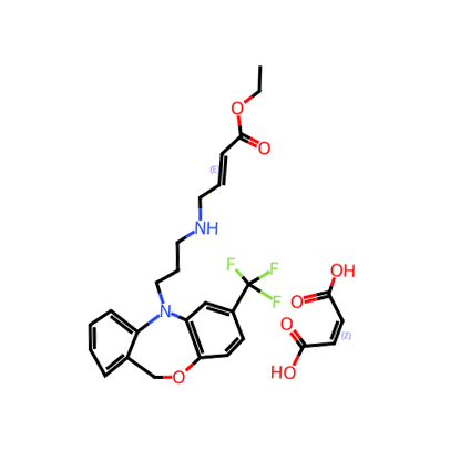 CCOC(=O)/C=C/CNCCCN1c2ccccc2COc2ccc(C(F)(F)F)cc21.O=C(O)/C=C\C(=O)O